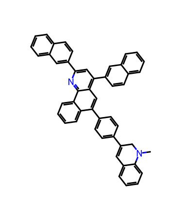 CN1CC(c2ccc(-c3cc4c(-c5ccc6ccccc6c5)cc(-c5ccc6ccccc6c5)nc4c4ccccc34)cc2)=Cc2ccccc21